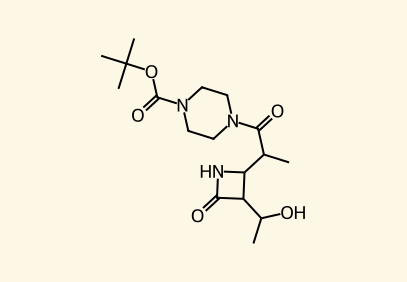 CC(O)C1C(=O)NC1C(C)C(=O)N1CCN(C(=O)OC(C)(C)C)CC1